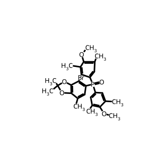 COc1c(C)cc(P(=O)(c2cc(C)c(OC)c(C)c2)c2cc(C)c3c(c2Br)OC(C)(C)O3)cc1C